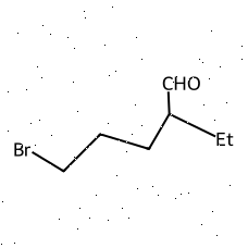 CCC(C=O)CCCBr